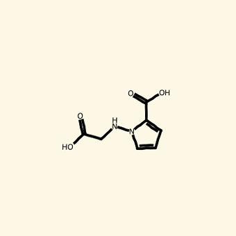 O=C(O)CNn1cccc1C(=O)O